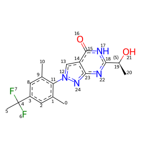 Cc1cc(C(C)(F)F)cc(C)c1-n1cc2c(=O)[nH]c([C@H](C)O)nc2n1